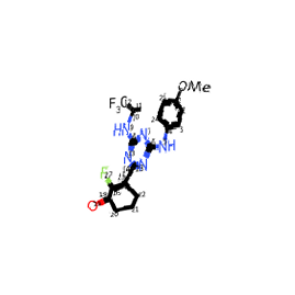 COc1ccc(Nc2nc(NC(C)C(F)(F)F)nc(C3=C(F)C(=O)CCC3)n2)cc1